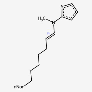 CCCCCCCCCCCCCC/C=C/N(C)c1cccs1